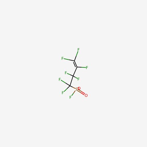 O=S(=O)(F)C(F)(F)C(F)(F)C(F)=C(F)F